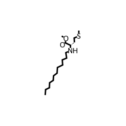 CCCCCCCCCCCCN[C@@H](CCSC)C(=O)OC